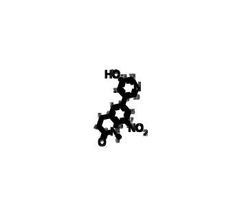 CN1C(=O)CCc2cc(-c3cncc(O)c3)cc([N+](=O)[O-])c21